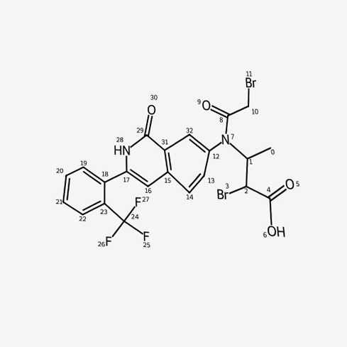 CC(C(Br)C(=O)O)N(C(=O)CBr)c1ccc2cc(-c3ccccc3C(F)(F)F)[nH]c(=O)c2c1